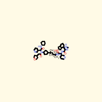 CC(C)(CCC(C)(C)c1ccc(N(C(=O)C=C2CCOCC2)C(C(=O)NC2CCCCC2)c2cccnc2)cc1)NC(=O)C(c1cccnc1)N(C(=O)c1c[nH]cn1)[C@H]1c2ccccc2C[C@H]1O